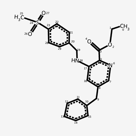 CCOC(=O)c1ncc(Cc2ccccc2)cc1NCc1ccc(S(C)(=O)=O)cc1